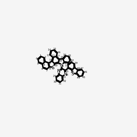 c1ccc2c(c1)ccc1sc3c(c4ccccc4c4c5ccccc5n(-c5nc6ccccc6nc5-c5cccc6c5sc5ccccc56)c34)c12